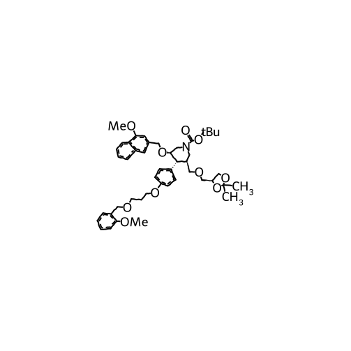 COc1ccccc1COCCCOc1ccc([C@H]2[C@H](COC[C@H]3COC(C)(C)O3)CN(C(=O)OC(C)(C)C)C[C@@H]2OCc2cc(OC)c3ccccc3c2)cc1